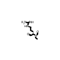 CCN(C=O)[C@H](C=O)CCCNC(=N)N